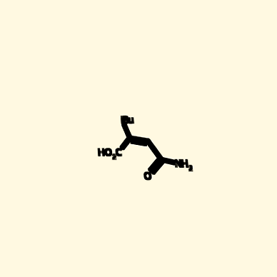 CCC(C)C(=CC(N)=O)C(=O)O